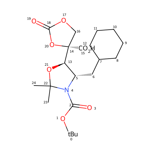 CC(C)(C)OC(=O)N1[C@@H](CC2CCCCC2)[C@H]([C@]2(C(=O)O)COC(=O)O2)OC1(C)C